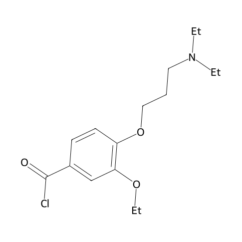 CCOc1cc(C(=O)Cl)ccc1OCCCN(CC)CC